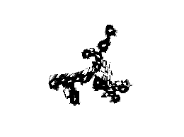 CC1(C)c2cc(N(c3ccc4c(c3)C(C)(C)c3c5c(c6c(oc7ccccc76)c3-4)-c3ccccc3C5(C)C)c3ccc4c(c3)C(C)(C)c3c5c(c6oc7ccccc7c6c3-4)-c3ccccc3C5(C)C)ccc2-c2c1cc(-c1ccc(-c3ccccc3)cc1)c1oc3ccccc3c21